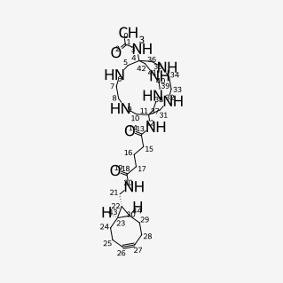 CC(=O)NC12CNCCNCC(NC(=O)CCCC(=O)NC[C@H]3[C@@H]4CCC#CCC[C@@H]43)(CNCCNC1)CNCCNC2